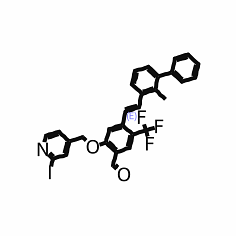 Cc1c(/C=C/c2cc(OCc3ccnc(I)c3)c(C=O)cc2C(F)(F)F)cccc1-c1ccccc1